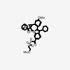 COCCS(=O)(=O)NC(=O)c1ccc2c(C3CCCCC3)c3n(c2c1)CC1(C(=O)N2C4CC2CN(C)C4)CC1c1cc(OC)ccc1-3